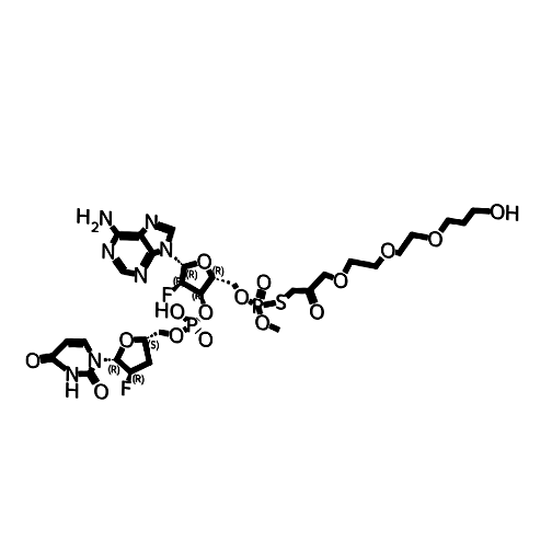 COP(=O)(OC[C@H]1O[C@@H](n2cnc3c(N)ncnc32)[C@H](F)[C@@H]1OP(=O)(O)OC[C@@H]1C[C@@H](F)[C@H](n2ccc(=O)[nH]c2=O)O1)SCC(=O)COCCOCCOCCCO